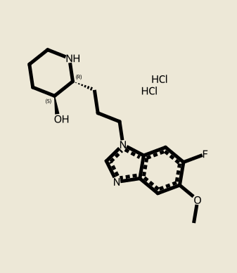 COc1cc2ncn(CCC[C@H]3NCCC[C@@H]3O)c2cc1F.Cl.Cl